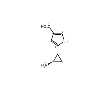 N[C@@H]1C[C@H]1c1cc(C(=O)O)cs1